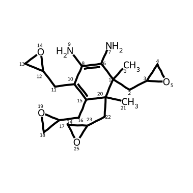 CC1(CC2CO2)C(N)=C(N)C(CC2CO2)=C(CC2CO2)C1(C)CC1CO1